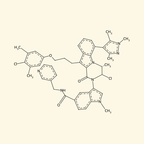 Cc1cc(OCCCc2c3n(c4c(-c5c(C)nn(C)c5C)cccc24)[C@H](C)C(Cl)N(c2cn(C)c4ccc(C(=O)NCc5cccnc5)cc24)C3=O)cc(C)c1Cl